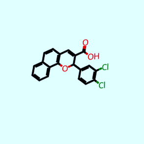 O=C(O)C1=Cc2ccc3ccccc3c2OC1c1ccc(Cl)c(Cl)c1